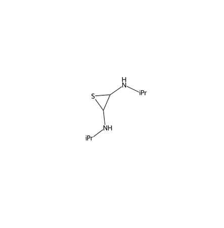 CC(C)NC1SC1NC(C)C